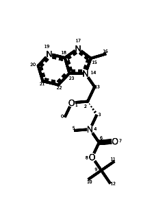 CO[C@@H](CN(C)C(=O)OC(C)(C)C)Cn1c(C)nc2ncccc21